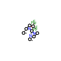 Cc1ccccc1-c1ccc2c3ccccc3n(-c3cc(-c4ccc(C(F)(F)F)cc4C(F)(F)F)c(-n4c5ccccc5c5ccc(-c6ccccc6C)cc54)cc3C#N)c2c1